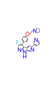 Fc1cnc2[nH]c3cnc(-c4cccnc4)cc3c2c1-c1ccc(OCCN2CCCC2)cc1